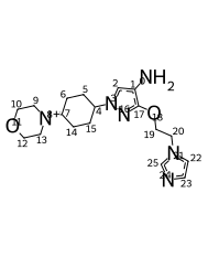 Nc1cn(C2CCC(=[N+]3CCOCC3)CC2)nc1OCCn1ccnc1